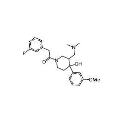 COc1cccc(C2(O)CCN(C(=O)Cc3cccc(F)c3)CC2CN(C)C)c1